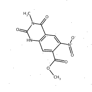 COC(=O)c1cc2[nH]c(=O)n(C)c(=O)c2cc1[N+](=O)[O-]